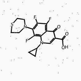 O=C(O)c1cn(C2CC2)c2c(F)c(N3CCSCC3)c(F)c(F)c2c1=O